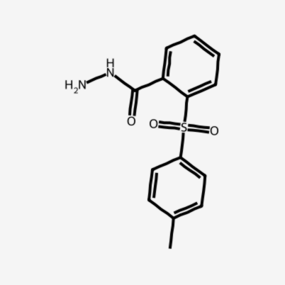 Cc1ccc(S(=O)(=O)c2ccccc2C(=O)NN)cc1